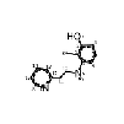 Cc1c(O)cccc1N(C)CCc1ccccn1